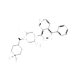 CC1CN(c2nnc(-c3ccccc3)c3ccncc23)[C@@H](C)CN1C(=O)C1CCC(F)(F)CC1